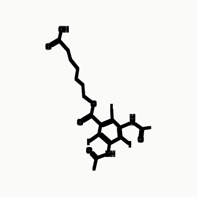 CC(=O)Nc1c(I)c(NC(C)=O)c(I)c(C(=O)OCCCCCCC(=O)O)c1I